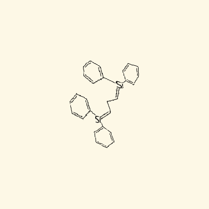 C(CC=[Si](c1ccccc1)c1ccccc1)=[Si](c1ccccc1)c1ccccc1